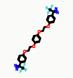 FC(F)(F)C1(c2ccc(OCCOc3ccc(OCCOc4ccc(C5(C(F)(F)F)N=N5)cc4)cc3)cc2)N=N1